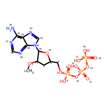 COC1CC(COP(=O)(O)OP(=O)(O)OP(=O)(O)O)OC1n1cnc2c(N)ncnc21